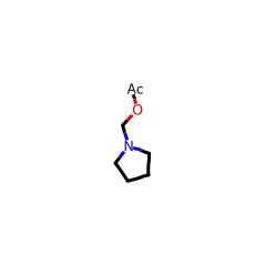 CC(=O)OCN1CCCC1